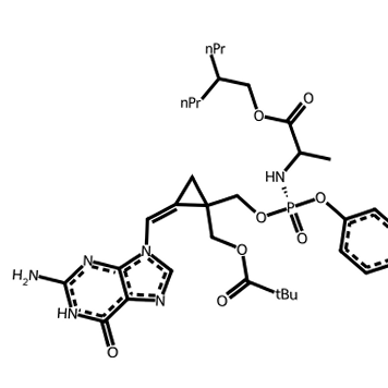 CCCC(CCC)COC(=O)C(C)N[P@](=O)(OCC1(COC(=O)C(C)(C)C)C/C1=C/n1cnc2c(=O)[nH]c(N)nc21)Oc1ccccc1